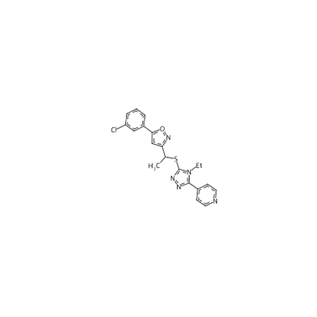 CCn1c(SC(C)c2cc(-c3cccc(Cl)c3)on2)nnc1-c1ccncc1